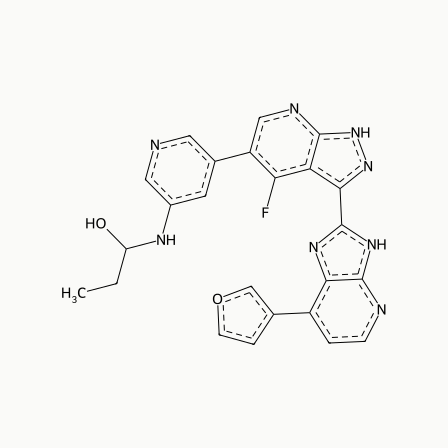 CCC(O)Nc1cncc(-c2cnc3[nH]nc(-c4nc5c(-c6ccoc6)ccnc5[nH]4)c3c2F)c1